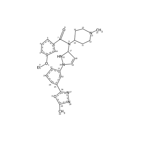 CCOc1cccc(C(=O)N(C2CCN(C)CC2)C2C=CN(c3cccc(-c4nnc(C)o4)c3)N2)c1